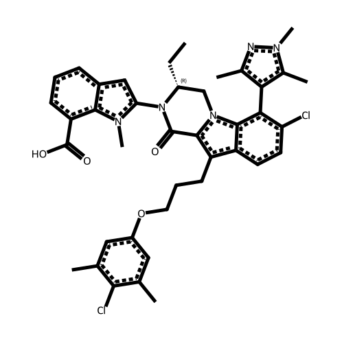 CC[C@@H]1Cn2c(c(CCCOc3cc(C)c(Cl)c(C)c3)c3ccc(Cl)c(-c4c(C)nn(C)c4C)c32)C(=O)N1c1cc2cccc(C(=O)O)c2n1C